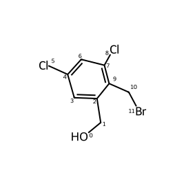 OCc1cc(Cl)cc(Cl)c1CBr